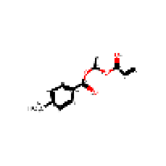 C=CC(=O)OC(C)OC(=O)c1ccc(C(=O)O)cc1